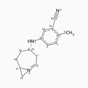 Cc1ccc(N[C@@H]2CC=[N+]3CC3CC2)cc1C#N